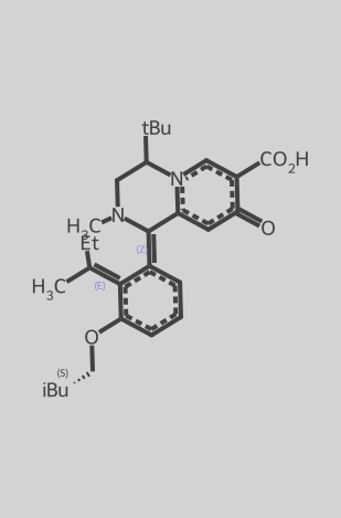 CC/C(C)=c1/c(OC[C@@H](C)CC)ccc/c1=C1\c2cc(=O)c(C(=O)O)cn2C(C(C)(C)C)CN1C